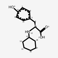 O=C(O)[C@H](Cc1ccc(O)cc1)NC1CCCCC1